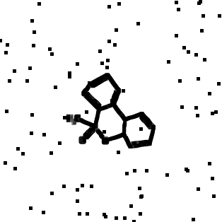 CP1(=O)OC2C=CC=CC2c2ccccc21